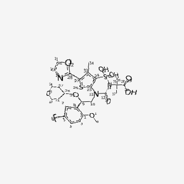 COc1ccc(F)cc1C(CN1C(=O)N(C(C)(C)C(=O)O)S(O)(O)c2c1sc(-c1ncco1)c2C)OC1CCOCC1